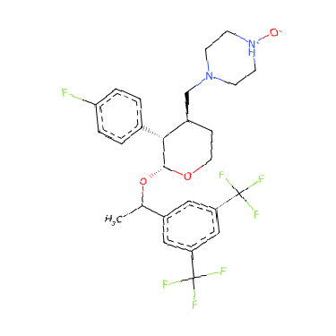 CC(O[C@H]1OCC[C@H](CN2CC[NH+]([O-])CC2)[C@H]1c1ccc(F)cc1)c1cc(C(F)(F)F)cc(C(F)(F)F)c1